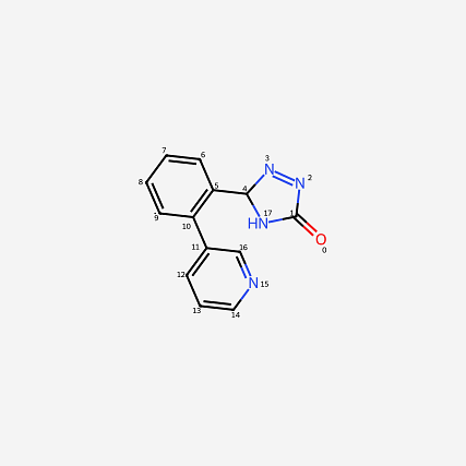 O=C1N=NC(c2ccc[c]c2-c2cccnc2)N1